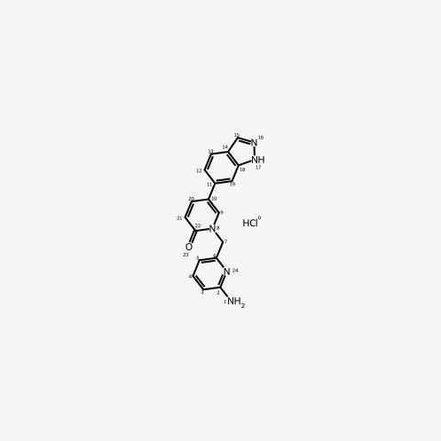 Cl.Nc1cccc(Cn2cc(-c3ccc4cn[nH]c4c3)ccc2=O)n1